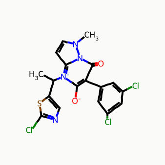 CC(c1cnc(Cl)s1)[n+]1c([O-])c(-c2cc(Cl)cc(Cl)c2)c(=O)n2c1ccn2C